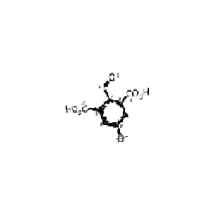 O=Ic1c(C(=O)O)cc(Br)cc1C(=O)O